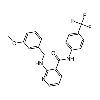 COc1cccc(CNc2ncccc2C(=O)Nc2ccc(C(F)(F)F)cc2)c1